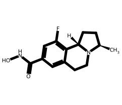 C[C@@H]1CC[C@H]2c3c(F)cc(C(=O)NO)cc3CCN12